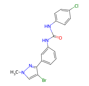 Cn1cc(Br)c(-c2cccc(NC(=O)Nc3ccc(Cl)cc3)c2)n1